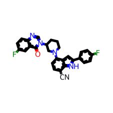 N#Cc1ccc(N2CCCC(n3cnc4ccc(F)cc4c3=O)C2)c2cc(-c3ccc(F)cc3)[nH]c12